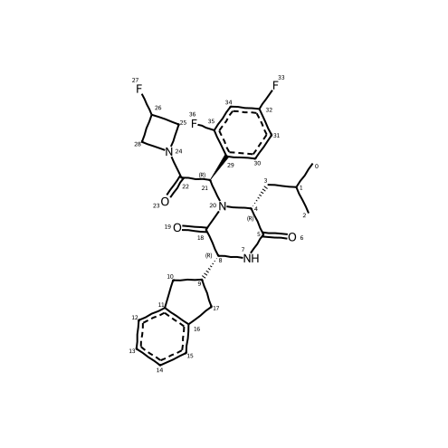 CC(C)C[C@@H]1C(=O)N[C@H](C2Cc3ccccc3C2)C(=O)N1[C@@H](C(=O)N1CC(F)C1)c1ccc(F)cc1F